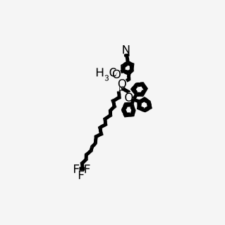 COc1cc(C#N)ccc1CO[C@@H](CCCCCCCCCCCCCCCCCC(F)(F)F)COC(c1ccccc1)(c1ccccc1)c1ccccc1